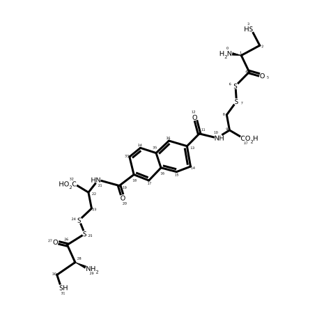 N[C@@H](CS)C(=O)SSCC(NC(=O)c1ccc2cc(C(=O)NC(CSSC(=O)[C@@H](N)CS)C(=O)O)ccc2c1)C(=O)O